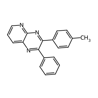 Cc1ccc(-c2nc3ncccc3nc2-c2ccccc2)cc1